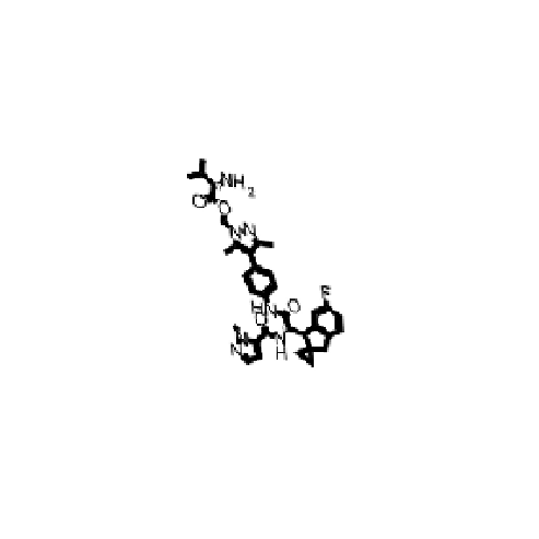 Cc1nn(COC(=O)[C@@H](N)C(C)C)c(C)c1-c1ccc(NC(=O)[C@@H](NC(=O)c2ccnn2C)C2c3cc(F)ccc3CC23CC3)cc1